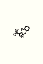 O=[N+]([O-])c1cnn(Cc2ccccc2F)c1